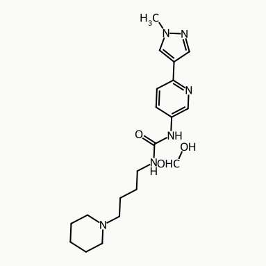 Cn1cc(-c2ccc(NC(=O)NCCCCN3CCCCC3)cn2)cn1.O=CO